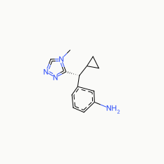 Cn1cnnc1[C@@H](c1cccc(N)c1)C1CC1